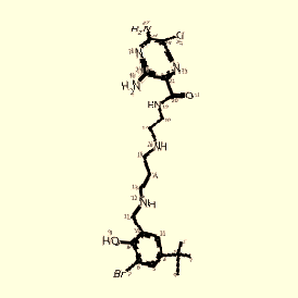 CC(C)(C)c1cc(Br)c(O)c(CNCCCNCCNC(=O)c2nc(Cl)c(N)nc2N)c1